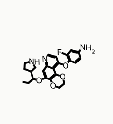 CCC(Oc1cc2nccc(Oc3ccc(N)cc3F)c2c2c1OCCO2)C1CCNC1